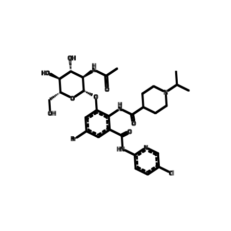 CC(=O)N[C@H]1[C@H](Oc2cc(Br)cc(C(=O)Nc3ccc(Cl)cn3)c2NC(=O)C2CCN(C(C)C)CC2)O[C@H](CO)[C@@H](O)[C@@H]1O